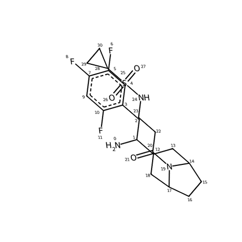 NC(Cc1cc(F)c(F)cc1F)C1CC2CCC(C1)N2C(=O)CCNS(=O)(=O)C1CC1